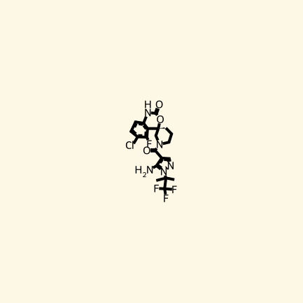 CC(C)(n1ncc(C(=O)N2CCC[C@@]3(C2)OC(=O)Nc2ccc(Cl)c(F)c23)c1N)C(F)(F)F